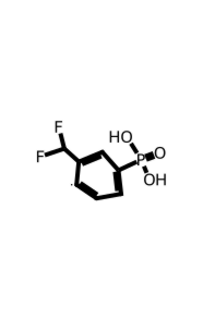 O=P(O)(O)c1cc[c]c(C(F)F)c1